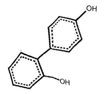 Oc1ccc(-c2[c]cccc2O)cc1